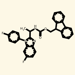 CC(NC(=O)OCC1c2ccccc2-c2ccccc21)c1nc2ccc(F)cc2n1-c1ccc(F)cc1